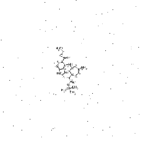 CCOC(=O)c1cnc2[nH]cnc2c1N[C@H]1C[C@@H](N)CC[C@@H](CC(=O)OC(C)(C)C)C1